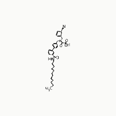 CCCCCCCCCCCCNC(=O)c1cccc(-c2ccc(CN(Cc3cccc(C#N)c3)C(=O)C(=O)O)cc2)c1